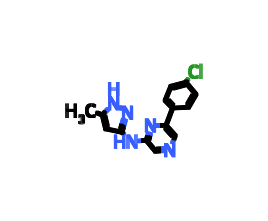 Cc1cc(Nc2cncc(-c3ccc(Cl)cc3)n2)n[nH]1